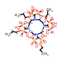 CCCOP(=O)(O)C(N1CCN(C(P(=O)(O)O)P(=O)(O)OCCC)CCN(C(P(=O)(O)O)P(=O)(O)OCCC)CCN(C(P(=O)(O)O)P(=O)(O)OCCC)CC1)P(=O)(O)O